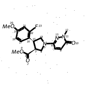 COC(=O)[C@@H]1CN(c2ccc(=O)n(C)n2)C[C@H]1c1ccc(OC)cc1F